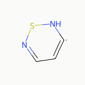 [C]1=CC=NSN1